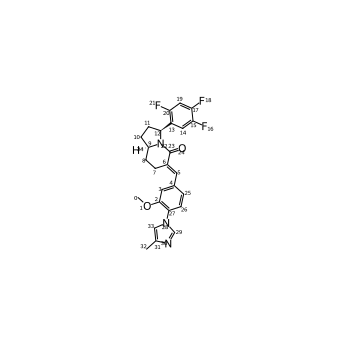 COc1cc(/C=C2\CC[C@H]3CC[C@@H](c4cc(F)c(F)cc4F)N3C2=O)ccc1-n1cnc(C)c1